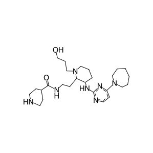 O=C(NCCC1C(Nc2nccc(N3CCCCCC3)n2)CCCN1CCCO)C1CCNCC1